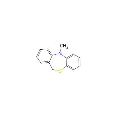 CN1c2ccccc2CSc2ccccc21